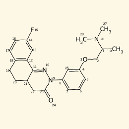 CC(COc1cccc(N2N=C3c4cc(F)ccc4CCC3CC2=O)c1)N(C)C